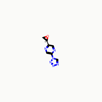 c1nc(-n2cnnn2)cnc1[C@H]1CO1